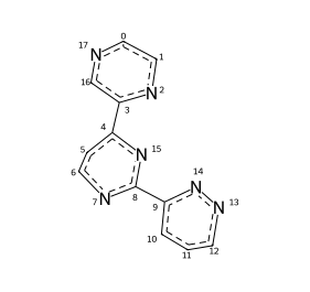 [c]1cnc(-c2ccnc(-c3cccnn3)n2)cn1